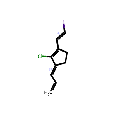 C=C/C=C1\CCC(/C=C/I)=C1Cl